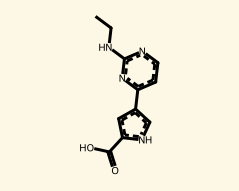 CCNc1nccc(-c2c[nH]c(C(=O)O)c2)n1